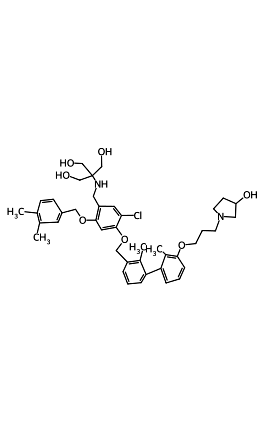 Cc1ccc(COc2cc(OCc3cccc(-c4cccc(OCCCN5CCC(O)C5)c4C)c3C)c(Cl)cc2CNC(CO)(CO)CO)cc1C